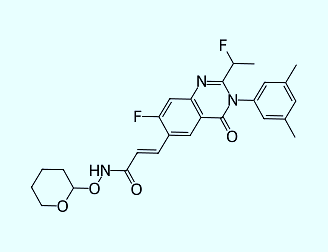 Cc1cc(C)cc(-n2c(C(C)F)nc3cc(F)c(/C=C/C(=O)NOC4CCCCO4)cc3c2=O)c1